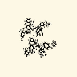 CCC(C)(C)c1cc(NC(=O)NCc2ccccc2Sc2ccc3nnc(-c4cc(Cl)ccc4O)n3c2)n(-c2cccc(CN(C)C)c2)n1.CCC(C)(C)c1cc(NC(=O)NCc2ccccc2Sc2ccc3nnc(-c4cc(F)ccc4O)n3c2)n(-c2cccc(CN3CCOCC3)c2)n1